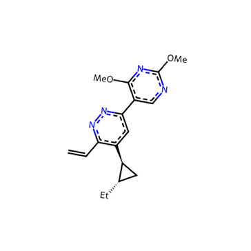 C=Cc1nnc(-c2cnc(OC)nc2OC)cc1[C@H]1C[C@@H]1CC